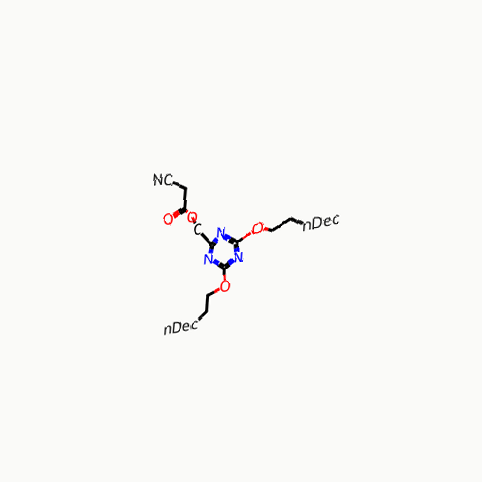 CCCCCCCCCCCCOc1nc(COC(=O)CC#N)nc(OCCCCCCCCCCCC)n1